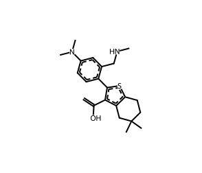 C=C(O)c1c(-c2ccc(N(C)C)cc2CNC)sc2c1CC(C)(C)CC2